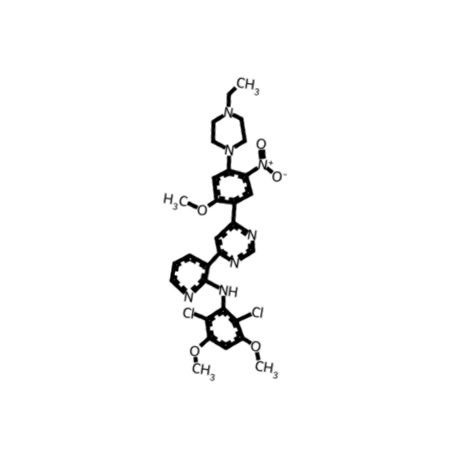 CCN1CCN(c2cc(OC)c(-c3cc(-c4cccnc4Nc4c(Cl)c(OC)cc(OC)c4Cl)ncn3)cc2[N+](=O)[O-])CC1